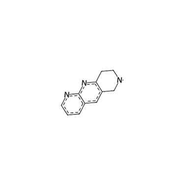 c1cnc2nc3c(cc2c1)C[N]CC3